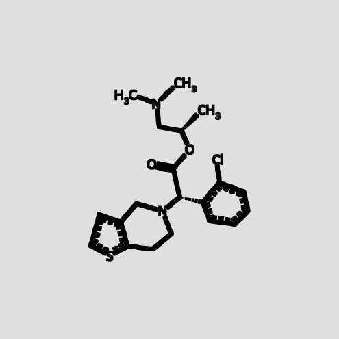 C[C@H](CN(C)C)OC(=O)[C@H](c1ccccc1Cl)N1CCc2sccc2C1